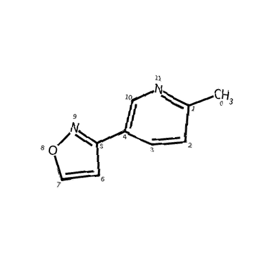 Cc1ccc(-c2ccon2)cn1